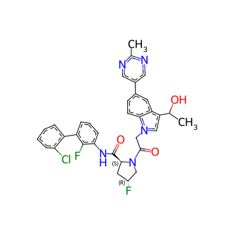 Cc1ncc(-c2ccc3c(c2)c(C(C)O)cn3CC(=O)N2C[C@H](F)C[C@H]2C(=O)Nc2cccc(-c3ccccc3Cl)c2F)cn1